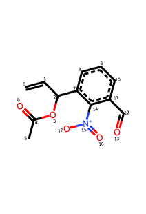 C=CC(OC(C)=O)c1cccc(C=O)c1[N+](=O)[O-]